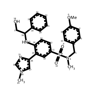 COc1ccc(CN(C)S(=O)(=O)c2ccc(NC(CO)c3ccccc3)c(-c3cn(C)cn3)c2)cc1